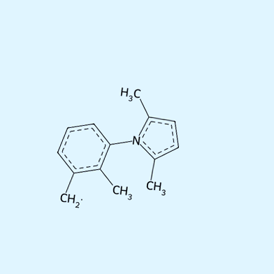 [CH2]c1cccc(-n2c(C)ccc2C)c1C